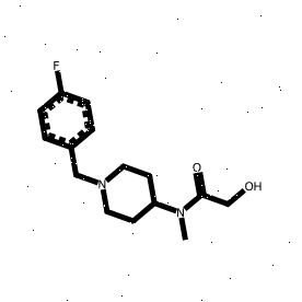 CN(C(=O)CO)C1CCN(Cc2ccc(F)cc2)CC1